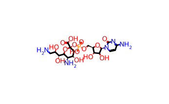 NC[C@@H](O)[C@@H](O)C1O[C@](OP(=O)(O)OC[C@H]2O[C@@H](n3ccc(N)nc3=O)C(O)[C@H]2O)(C(=O)O)C[C@@H](O)[C@H]1N